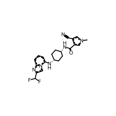 Cn1cc(C#N)c(C(=O)N[C@H]2CC[C@@H](Nc3cccc4nc(C(F)F)cn34)CC2)c1